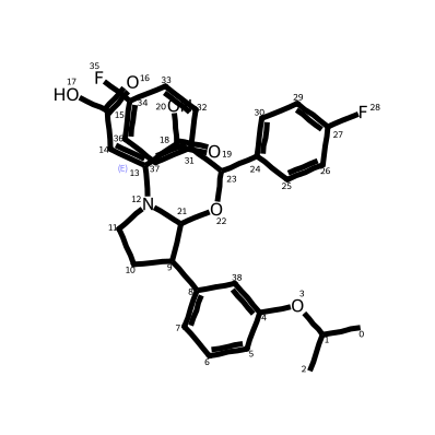 CC(C)Oc1cccc(C2CCN(/C(=C/C(=O)O)C(=O)O)C2OC(c2ccc(F)cc2)c2ccc(F)cc2)c1